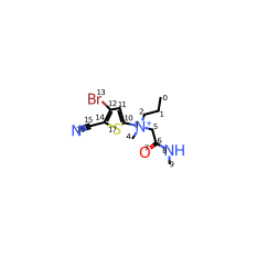 CCC[N+](C)(CC(=O)NC)c1cc(Br)c(C#N)s1